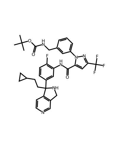 CC(C)(C)OC(=O)NCc1cccc(-n2nc(C(F)(F)F)cc2C(=O)Nc2cc(C3(CCC4CC4)NCc4cnccc43)ccc2F)c1